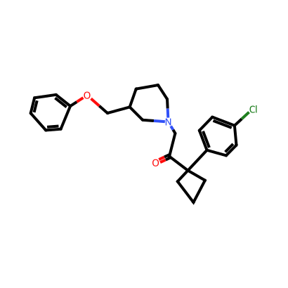 O=C(CN1CCCC(COc2ccccc2)C1)C1(c2ccc(Cl)cc2)CCC1